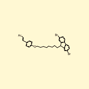 CC(=O)C=Cc1ccc(OCCCCCCCCC2c3cc(Br)ccc3-c3ccc(Br)cc32)cc1